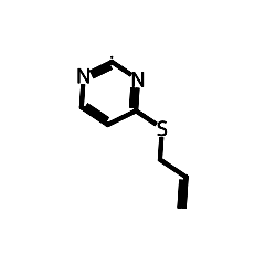 C=CCSc1ccn[c]n1